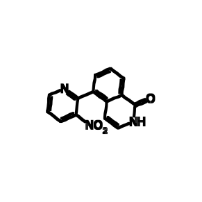 O=c1[nH]ccc2c(-c3ncccc3[N+](=O)[O-])cccc12